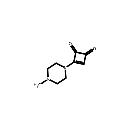 CN1CCN(c2cc(=O)c2=O)CC1